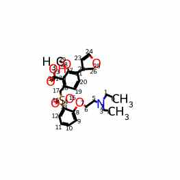 CCN(CC)CCOc1ccccc1S(=O)(=O)Cc1ccc(C2C=COC2)c(OC)c1C(=O)O